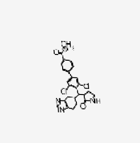 COC(=O)c1ccc(-c2cc(Cl)c(C(C3CCc4[nH]cnc4C3)C3CCNC3=O)c(Cl)c2)cc1